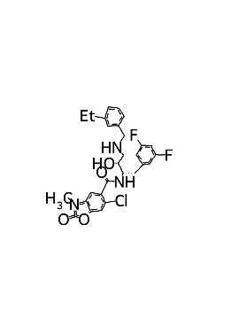 CCc1cccc(CNC[C@@H](O)[C@H](Cc2cc(F)cc(F)c2)NC(=O)c2cc3c(cc2Cl)oc(=O)n3C)c1